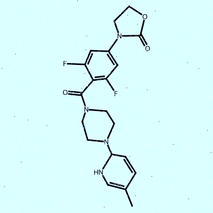 CC1=CNC(N2CCN(C(=O)c3c(F)cc(N4CCOC4=O)cc3F)CC2)C=C1